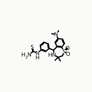 CN(C)c1ccc2c(c1)C(c1cccc(NC(N)=S)c1)NC(C)(C)CS2(=O)=O